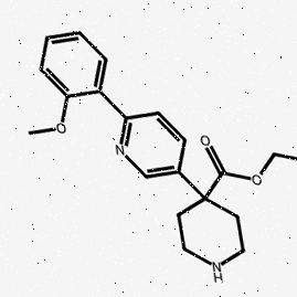 CCOC(=O)C1(c2ccc(-c3ccccc3OC)nc2)CCNCC1